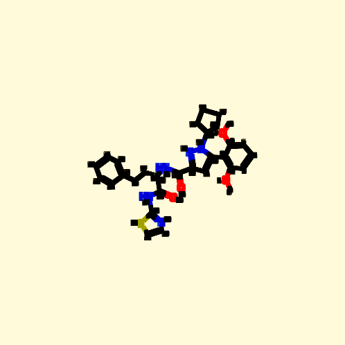 COc1cccc(OC)c1-c1cc(C(=O)N[C@@H](CCc2ccccc2)C(=O)Nc2nccs2)nn1C1CCCC1